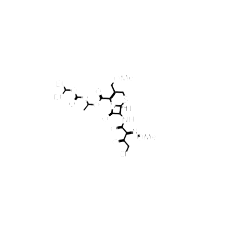 CCC(CC)OC(=O)OC(C)OC(=O)C1=C(COC)CS[C@H]2C(NC(=O)C(=NOC)C(=O)CCl)C(=O)N12